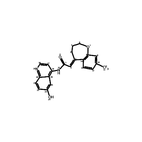 O=C(C=C1CCCOc2cc(C(F)(F)F)ccc21)Nc1ccnc2ccc(O)cc12